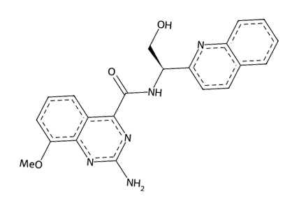 COc1cccc2c(C(=O)N[C@@H](CO)c3ccc4ccccc4n3)nc(N)nc12